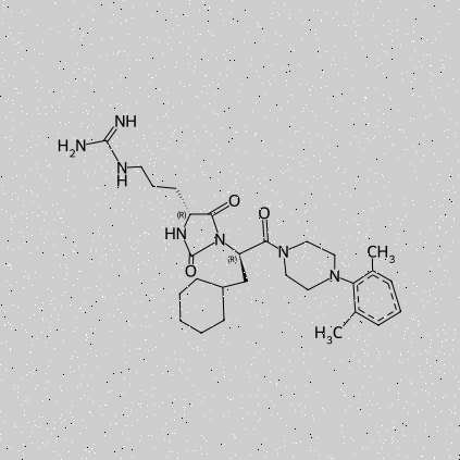 Cc1cccc(C)c1N1CCN(C(=O)[C@@H](CC2CCCCC2)N2C(=O)N[C@H](CCCNC(=N)N)C2=O)CC1